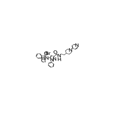 O=C(Nc1c(Br)c(C(=O)NCCC2CCN(c3ccncc3)CC2)nn1-c1ccccc1)c1ccccc1Cl